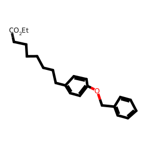 CCOC(=O)CCCCCCCc1ccc(OCc2ccccc2)cc1